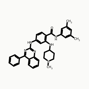 Cc1cc(C)cc(NC(=O)c2ccc(Nc3nc(-c4ccccc4)c4ccccc4n3)cc2NC2CCN(C)CC2)c1